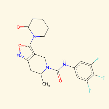 CC1Cc2noc(N3CCCCC3=O)c2CN1C(=O)Nc1cc(F)c(F)c(F)c1